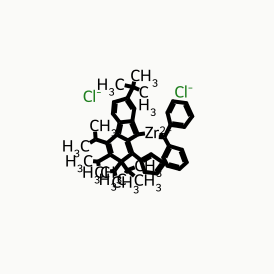 CC(C)C1=C(C(C)C)C(C(C)C)(C(C)(C)C)C(C2=CC=CC2)=C2[C]([Zr+2]=[C](c3ccccc3)c3ccccc3)=c3cc(C(C)(C)C)ccc3=C21.[Cl-].[Cl-]